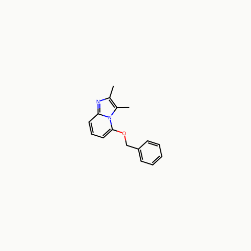 Cc1nc2cccc(OCc3ccccc3)n2c1C